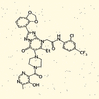 CCc1c(N2CCN(C(=O)c3ncnc(C)c3O)CC2)c(=O)n2nc(-c3cccc4c3OCO4)nc2n1CC(=O)Nc1ccc(C(F)(F)F)cc1Cl